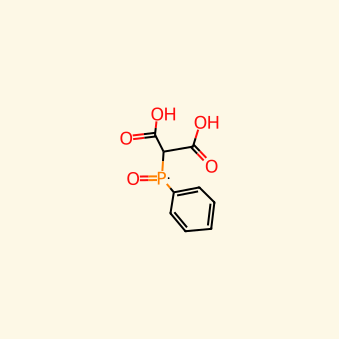 O=C(O)C(C(=O)O)[P](=O)c1ccccc1